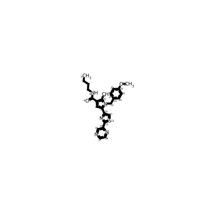 CCCCNC(=O)c1cc(-c2csc(-c3cnccn3)n2)n(Cc2ccc(OC)cc2)c1C